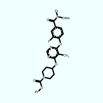 CCN(OC)C(=O)c1ccc(Oc2ncnc(OC3CCN(C(=O)OC(C)C)CC3)c2C)c(F)c1